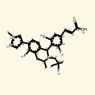 CC1Cc2c(ccc(-c3cnn(C)c3)c2F)C(c2c(F)cc(/C=C/C(=O)O)cc2F)N1CC(C)(C)F